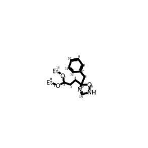 CCOC(CCC1(Cc2ccccc2)N=CNO1)OCC